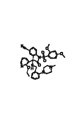 CCOc1ncccc1C1(NCc2ccccc2N2CCN(C)CC2)C(=O)N(S(=O)(=O)c2ccc(OC)cc2OC)c2ccc(C#N)cc21